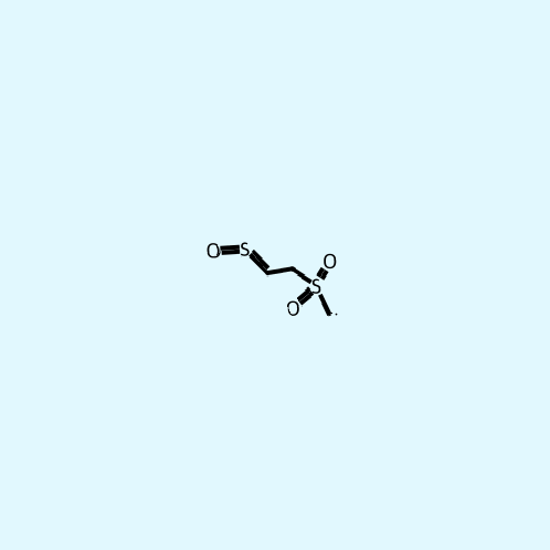 [CH2]S(=O)(=O)CC=S=O